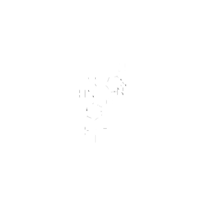 O=C1Nc2ccc(C(F)(F)F)cc2Oc2nnc(Cl)cc21